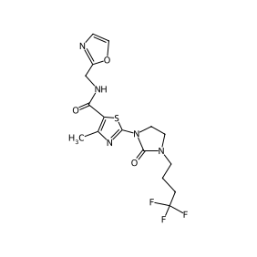 Cc1nc(N2CCN(CCCC(F)(F)F)C2=O)sc1C(=O)NCc1ncco1